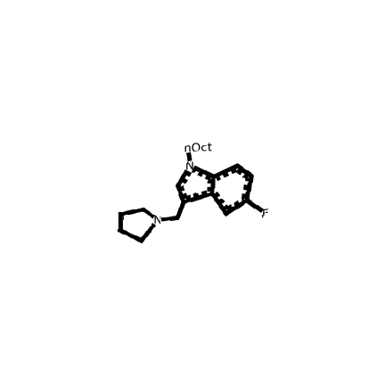 CCCCCCCCn1cc(CN2CCCC2)c2cc(F)ccc21